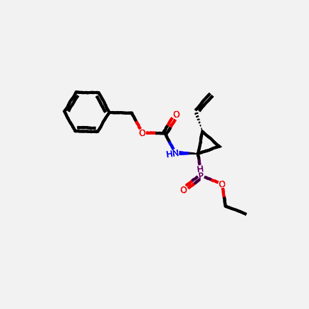 C=C[C@@H]1C[C@]1(NC(=O)OCc1ccccc1)[PH](=O)OCC